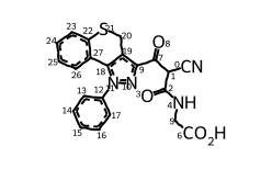 N#CC(C(=O)NCC(=O)O)C(=O)c1nn(-c2ccccc2)c2c1CSc1ccccc1-2